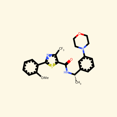 COc1ccccc1-c1nc(C(F)(F)F)c(C(=O)N[C@@H](C)c2cccc(N3CCOCC3)c2)s1